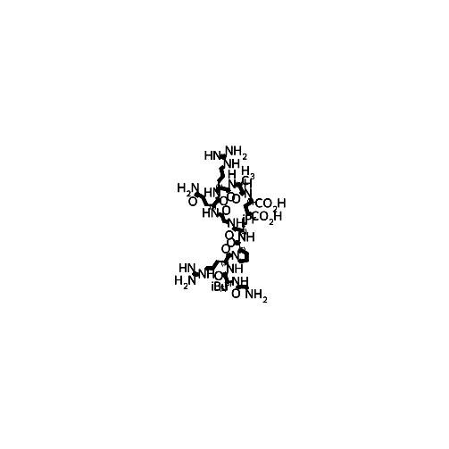 CC[C@H](C)[C@H](NC(=O)CN)C(=O)N[C@@H](CCCNC(=N)N)C(=O)N1CCC[C@H]1C(=O)N[C@@H](CC(C)C)C(=O)NCC(=O)N[C@@H](CCC(N)=O)C(=O)N[C@@H](CCCNC(=N)N)C(=O)N[C@@H](C)C(=O)N[C@@H](CCC(=O)O)C(=O)O